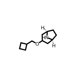 C1CC(COC2C[C@H]3CC[C@@H](C2)N3)C1